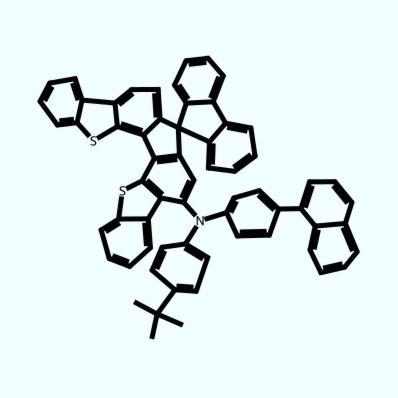 CC(C)(C)c1ccc(N(c2ccc(-c3cccc4ccccc34)cc2)c2cc3c(c4sc5ccccc5c24)-c2c(ccc4c2sc2ccccc24)C32c3ccccc3-c3ccccc32)cc1